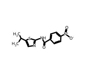 CC(C)c1cnc(NC(=O)c2ccc([N+](=O)[O-])cc2)s1